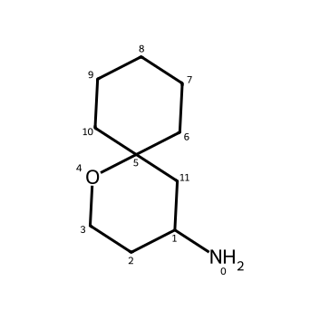 NC1CCOC2(CCCCC2)C1